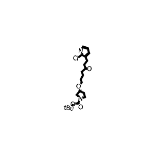 CC(C)(C)OC(=O)N1CC[C@@H](OCCCCC(=O)CCc2cccnc2Cl)C1